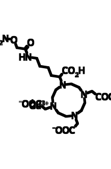 NOCC(=O)NCCCCC(C(=O)O)N1CCN(CC(=O)[O-])CCN(CC(=O)[O-])CCN(CC(=O)[O-])CC1.[Gd+3]